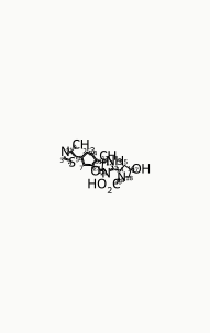 Cc1ncsc1-c1ccc(C2(C)NC(C3C[C@@H](O)CN3C(=O)O)=NC2=O)cc1